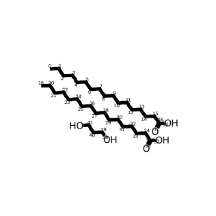 CCCCCCCCCCCCCCCCC(=O)O.CCCCCCCCCCCCCCCCC(=O)O.OCCCO